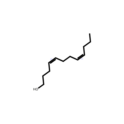 CCC/C=C\CC/C=C\CCCO